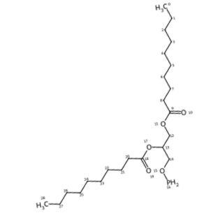 CCCCCCCCCC(=O)OCC(COP)OC(=O)CCCCCCCCC